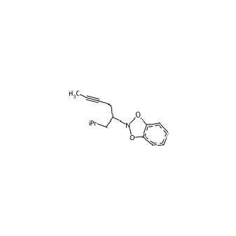 CC#CCC(CC(C)C)N1Oc2ccccc2O1